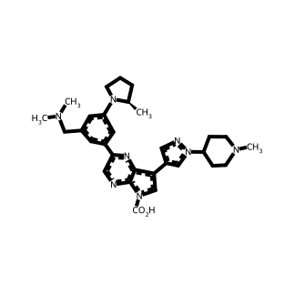 C[C@@H]1CCCN1c1cc(CN(C)C)cc(-c2cnc3c(n2)c(-c2cnn(C4CCN(C)CC4)c2)cn3C(=O)O)c1